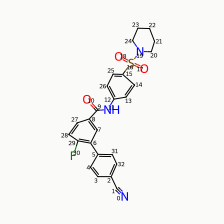 N#Cc1ccc(-c2cc(C(=O)Nc3ccc(S(=O)(=O)N4CCCCC4)cc3)ccc2F)cc1